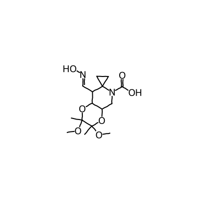 COC1(C)OC2CN(C(=O)O)C3(CC3)C(C=NO)C2OC1(C)OC